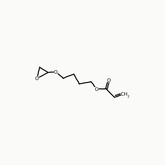 C=CC(=O)OCCCCOC1CO1